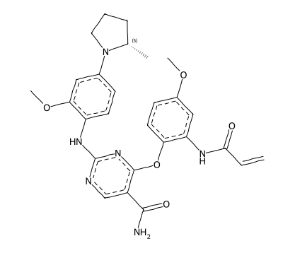 C=CC(=O)Nc1cc(OC)ccc1Oc1nc(Nc2ccc(N3CCC[C@@H]3C)cc2OC)ncc1C(N)=O